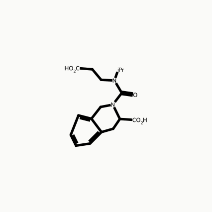 CC(C)N(CCC(=O)O)C(=O)N1Cc2ccccc2CC1C(=O)O